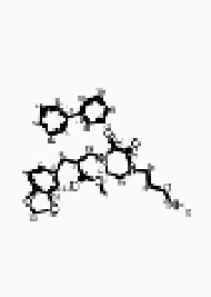 COC(=O)C(Cc1ccc2c(c1)OCO2)CN1CCN(CCCN)C(=O)C1=O.c1ccc(-c2ccccc2)cc1